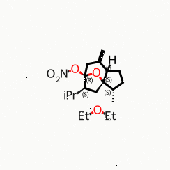 C=C1C[C@]2(O[N+](=O)[O-])O[C@@]3(C[C@H]2C(C)C)[C@@H](C)CC[C@@H]13.CCOCC